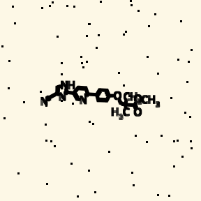 COC(=O)C(C)(C)COc1ccc(-c2ccc(-c3nc(C#N)c[nH]3)cn2)cc1